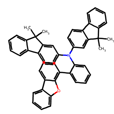 CC1(C)c2ccccc2-c2ccc(N(c3ccc4c(c3)C(C)(C)c3ccccc3-4)c3ccccc3-c3cccc4c3oc3ccccc34)cc21